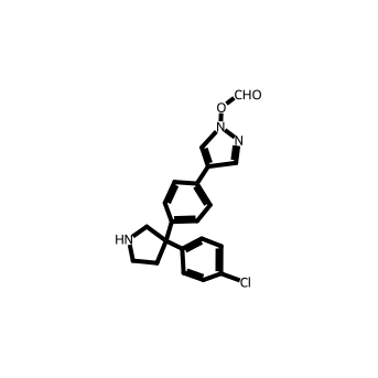 O=COn1cc(-c2ccc(C3(c4ccc(Cl)cc4)CCNC3)cc2)cn1